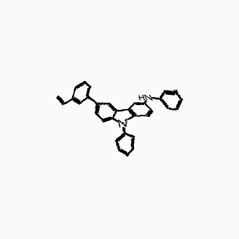 C=Cc1cccc(-c2ccc3c(c2)c2cc(Nc4ccccc4)ccc2n3-c2ccccc2)c1